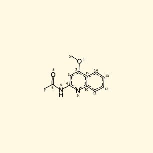 COc1cc(NC(C)=O)nc2ccccc12